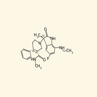 CCNc1cc(F)cc2c1NC(=O)[C@@]2(C)N1CC[C@@H](c2ccccc2)[C@@H](C(=O)NC)C1